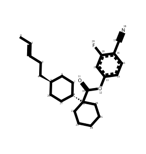 C/C=C/CC[C@H]1CC[C@H](C2(C(=O)Oc3ccc(C#N)c(F)c3)CCCCC2)CC1